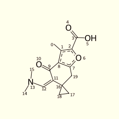 Cc1c(C(=O)O)oc2c1C(=O)/C(=C\N(C)C)C1(CC1)C2